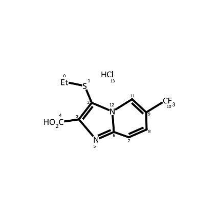 CCSc1c(C(=O)O)nc2ccc(C(F)(F)F)cn12.Cl